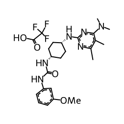 COc1cccc(NC(=O)N[C@H]2CC[C@@H](Nc3nc(C)c(C)c(N(C)C)n3)CC2)c1.O=C(O)C(F)(F)F